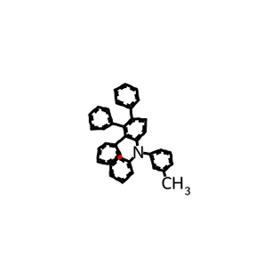 Cc1cccc(N(c2ccccc2)c2ccc(-c3ccccc3)c(-c3ccccc3)c2-c2ccccc2)c1